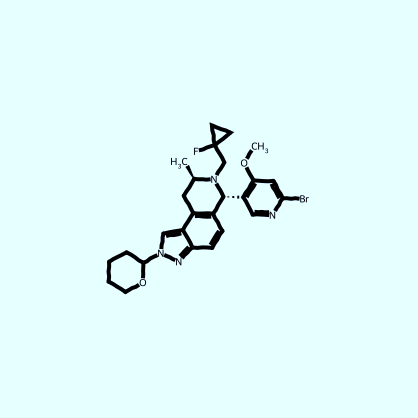 COc1cc(Br)ncc1[C@@H]1c2ccc3nn(C4CCCCO4)cc3c2C[C@@H](C)N1CC1(F)CC1